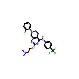 CN(C)CCOc1nc2c(c(Nc3ccc(C(F)(F)F)cc3)n1)CCN(c1ccccc1Cl)C2